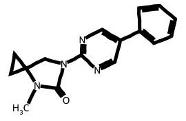 CN1C(=O)N(c2ncc(-c3ccccc3)cn2)CC12CC2